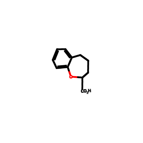 O=C(O)C1CCCc2ccccc2O1